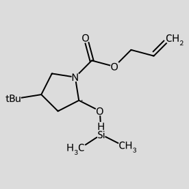 C=CCOC(=O)N1CC(C(C)(C)C)C[C]1O[SiH](C)C